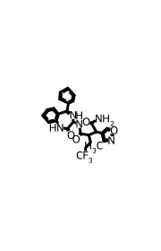 Cc1nocc1C(C(N)=O)C(CCC(F)(F)F)C(=O)NC1N=C(c2ccccc2)c2ccccc2NC1=O